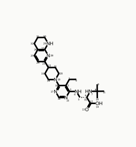 CCc1c(NC[C@H](NC(C)(C)C)C(=O)O)ncnc1N1CCC(c2ccc3c(n2)NCCC3)CC1